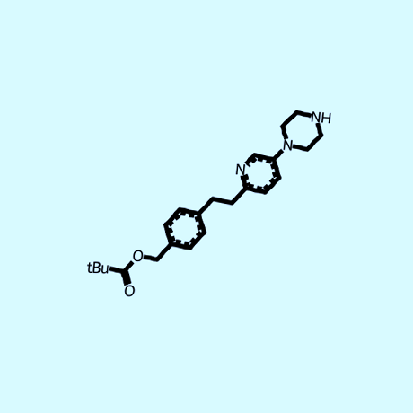 CC(C)(C)C(=O)OCc1ccc(CCc2ccc(N3CCNCC3)cn2)cc1